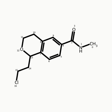 CNC(=O)c1ccc2c(c1)CCOC2CCCl